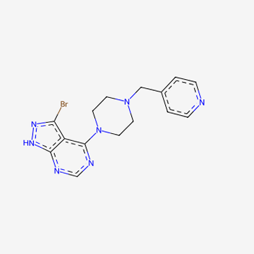 Brc1n[nH]c2ncnc(N3CCN(Cc4ccncc4)CC3)c12